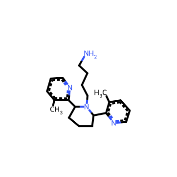 Cc1cccnc1C1CCCC(c2ncccc2C)N1CCCCN